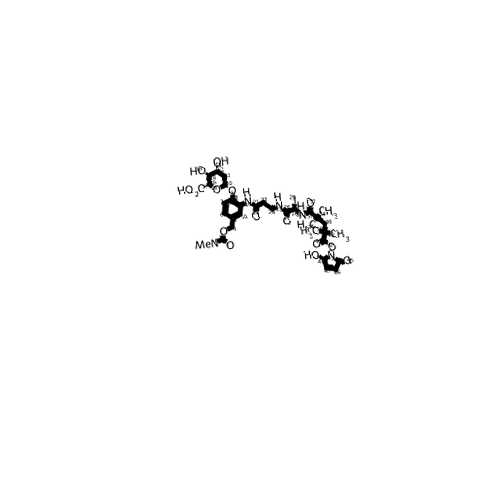 CNC(=O)OCc1ccc(O[C@H]2C[C@@H](O)[C@H](O)[C@@H](C(=O)O)O2)c(NC(=O)CCNC(=O)C(I)NC(=O)C(C)(C)CC(C)(C)C(=O)ON2C(=O)C=CC2O)c1